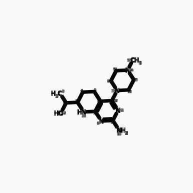 CC(O)C1CCc2c(nc(N)nc2N2CCN(C)CC2)N1